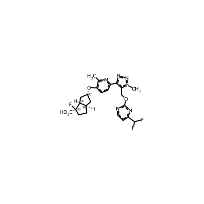 Cc1nc(-c2nnn(C)c2COc2nccc(C(F)F)n2)ccc1O[C@@H]1C[C@H]2CC[C@](F)(C(=O)O)[C@H]2C1